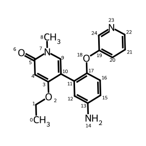 CCOc1cc(=O)n(C)cc1-c1cc(N)ccc1Oc1cccnc1